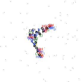 CCCNC(=O)NS(=O)(=O)c1ccc(Cl)cc1.CCN(CC)CCCC(C)Nc1ccnc2cc(Cl)ccc12.CN(C)CCC(c1ccc(Cl)cc1)c1ccccn1.CN(C)CCCN1c2ccccc2Sc2ccc(Cl)cc21.Cc1cc(C2CCCCC2)n(O)c(=O)c1.Cc1cc(C2CCCCC2)n(O)c(=O)c1.Cc1cc(O)cc(C)c1Cl.NCCO.NCCO.NS(=O)(=O)c1cc2c(cc1Cl)NC=NS2(=O)=O